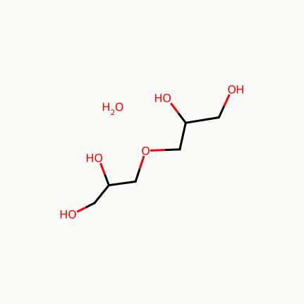 O.OCC(O)COCC(O)CO